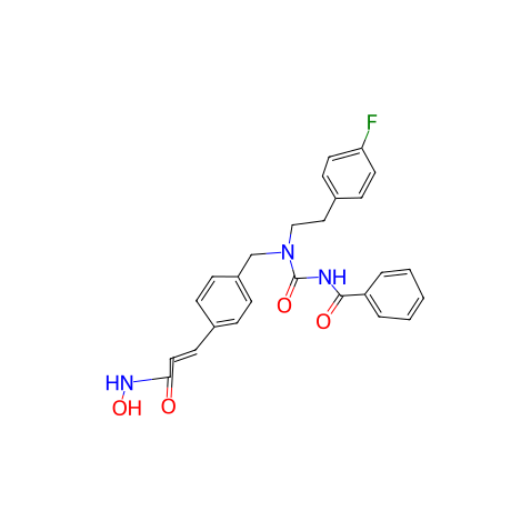 O=C(C=Cc1ccc(CN(CCc2ccc(F)cc2)C(=O)NC(=O)c2ccccc2)cc1)NO